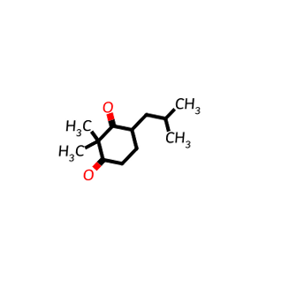 CC(C)CC1CCC(=O)C(C)(C)C1=O